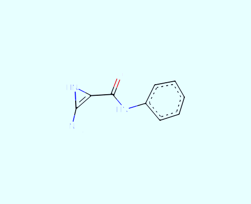 NC1=C(C(=O)Nc2ccccc2)N1